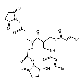 O=C(/C=C/Br)NCC(CNC(=O)/C=C/Br)C(=O)N(CCC(=O)ON1C(=O)CCC1=O)CCC(=O)ON1C(=O)CCC1O